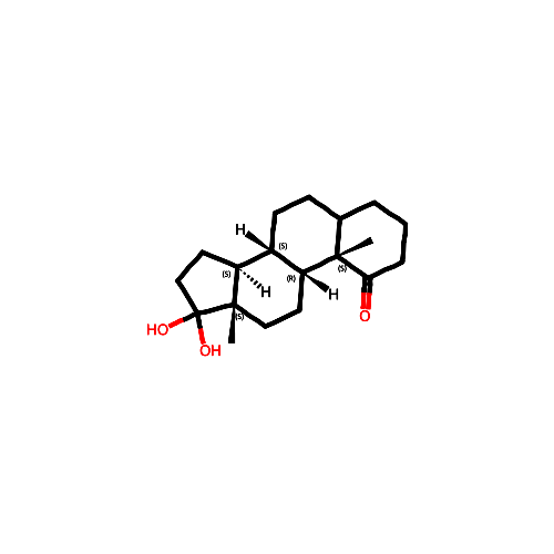 C[C@]12C(=O)CCCC1CC[C@@H]1[C@H]2CC[C@@]2(C)[C@H]1CCC2(O)O